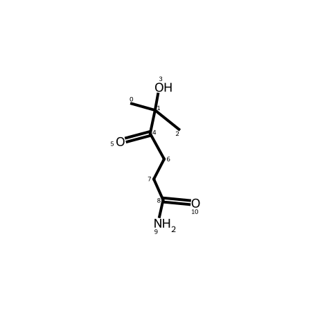 CC(C)(O)C(=O)CCC(N)=O